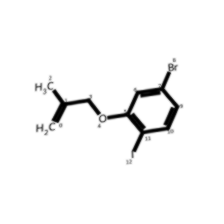 C=C(C)COc1cc(Br)ccc1I